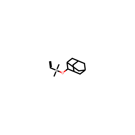 C=C[Si](C)(C)OC1C2CC3CC(C2)CC1C3